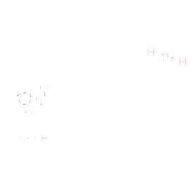 O=C(O)CCCOc1ccccc1NC(=O)CCCCCCCCCCCCCCCCCCCP(=O)(O)O